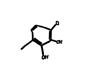 Cc1ccc(Cl)c(O)c1O